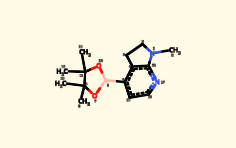 CN1CCc2c(B3OC(C)(C)C(C)(C)O3)ccnc21